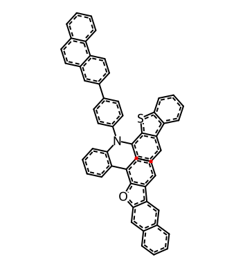 c1ccc(N(c2ccc(-c3ccc4c(ccc5ccccc54)c3)cc2)c2cccc3c2sc2ccccc23)c(-c2cccc3c2oc2cc4ccccc4cc23)c1